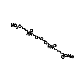 COC(=O)CCCCCCC(=O)NCCCOCCOCCOCCCNC(=O)CCCCCCC(=O)O